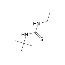 CCNC(=S)NC(C)(C)C